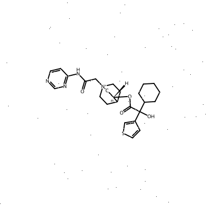 O=C(C[N+]12CCC(CC1)[C@@H](OC(=O)C(O)(c1ccsc1)C1CCCCC1)C2)Nc1ccncn1